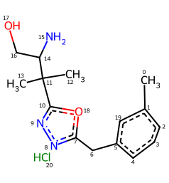 Cc1cccc(Cc2nnc(C(C)(C)C(N)CO)o2)c1.Cl